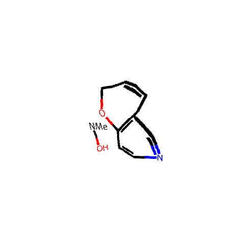 C1=Cc2cnccc2OC1.CNO